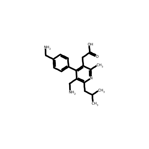 Cc1nc(CC(C)C)c(CN)c(-c2ccc(CN)cc2)c1CC(=O)O